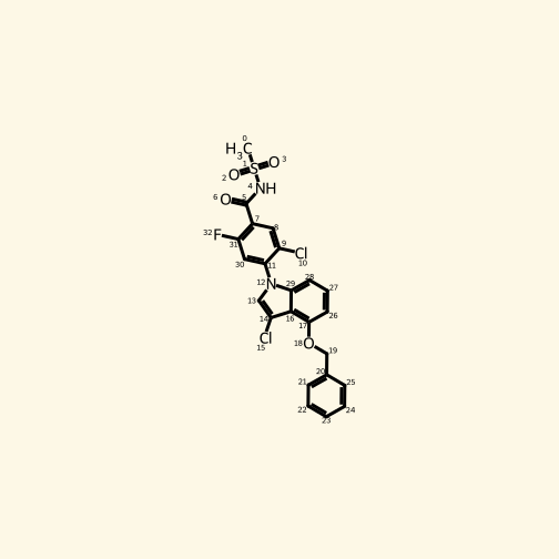 CS(=O)(=O)NC(=O)c1cc(Cl)c(-n2cc(Cl)c3c(OCc4ccccc4)cccc32)cc1F